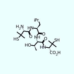 CC(C)C[C@H](NC(=O)[C@@H](N)C(C)(C)S)C(=O)N[C@H](C(=O)N[C@@H](C(=O)O)C(C)(C)S)[C@@H](C)O